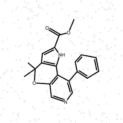 COC(=O)c1cc2c([nH]1)-c1c(cncc1-c1ccccc1)OC2(C)C